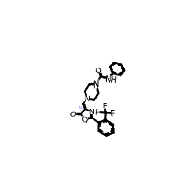 O=C1OC(c2ccccc2C(F)(F)F)=N/C1=C\N1CCN(C(=O)Nc2ccccc2)CC1